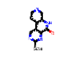 CSc1ncc2c(n1)c(=O)[nH]c1cnccc12